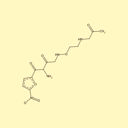 CC(=O)CNCCONCC(=O)C(N)C(=O)c1ccc([N+](=O)[O-])o1